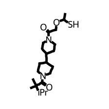 CC(S)OCC(=O)N1CCC(C2CCN(C(=O)C(C)(C)C(C)C)CC2)CC1